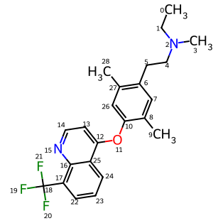 CCN(C)CCc1cc(C)c(Oc2ccnc3c(C(F)(F)F)cccc23)cc1C